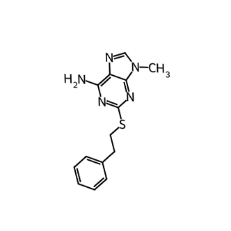 Cn1cnc2c(N)nc(SCCc3ccccc3)nc21